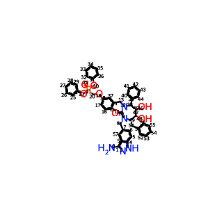 Nc1n[nH]c2ccc(CN3C(=O)N(Cc4cccc(OCP(=O)(Oc5ccccc5)Oc5ccccc5)c4)C(c4ccccc4)[C@H](O)[C@@H](O)[C@H]3Cc3ccccc3)cc12